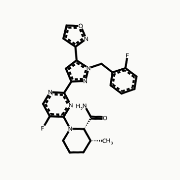 C[C@@H]1CCCN(c2nc(-c3cc(-c4ccon4)n(Cc4ccccc4F)n3)ncc2F)[C@@H]1C(N)=O